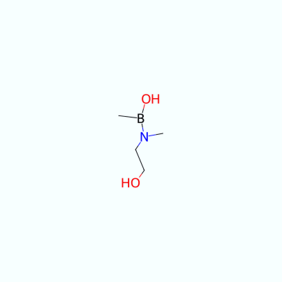 CB(O)N(C)CCO